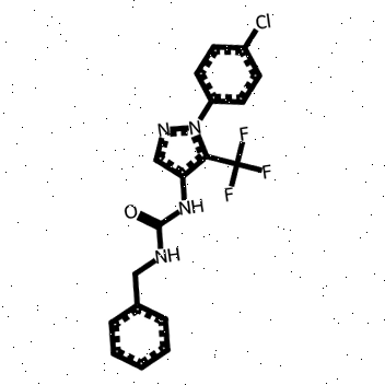 O=C(NCc1ccccc1)Nc1cnn(-c2ccc(Cl)cc2)c1C(F)(F)F